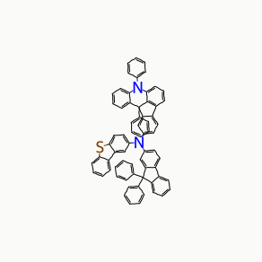 c1ccc(N2c3ccccc3C3(c4ccccc4)c4cc(N(c5ccc6c(c5)C(c5ccccc5)(c5ccccc5)c5ccccc5-6)c5ccc6sc7ccccc7c6c5)ccc4-c4cccc2c43)cc1